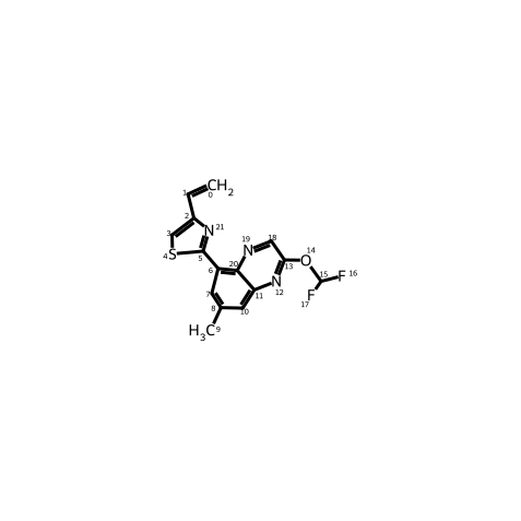 C=Cc1csc(-c2cc(C)cc3nc(OC(F)F)cnc23)n1